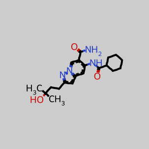 CC(C)(O)CCc1cc2cc(NC(=O)C3CCCCC3)c(C(N)=O)cn2n1